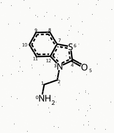 NCCn1c(=O)sc2ccccc21